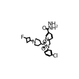 NNC(=O)c1ccc(CN(c2cccc(Cl)c2)S(=O)(=O)C2CCN(C3CC(F)C3)CC2)nc1